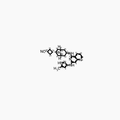 Cc1cc(Nc2cc3ncccc3c(NC3C[C@H]4CC([C@H]5C[C@@H](C#N)C5)C[C@H](C3)N4)n2)n[nH]1